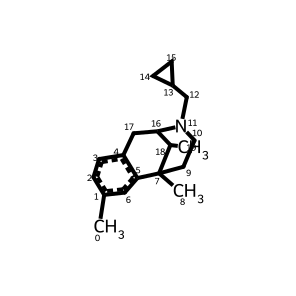 Cc1ccc2c(c1)C1(C)CCN(CC3CC3)C(C2)C1C